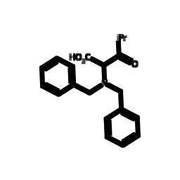 CC(C)C(=O)C(C(=O)O)N(Cc1ccccc1)Cc1ccccc1